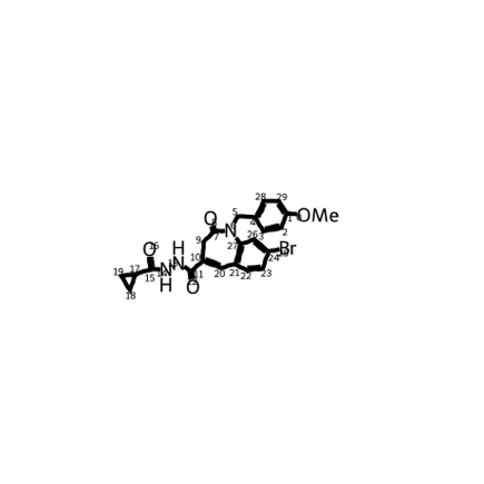 COc1ccc(CN2C(=O)CC(C(=O)NNC(=O)C3CC3)=Cc3ccc(Br)cc32)cc1